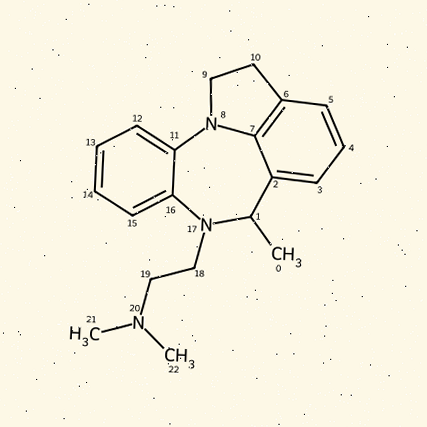 CC1c2cccc3c2N(CC3)c2ccccc2N1CCN(C)C